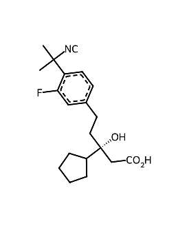 [C-]#[N+]C(C)(C)c1ccc(CC[C@@](O)(CC(=O)O)C2CCCC2)cc1F